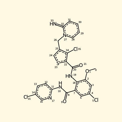 COc1cc(Cl)cc(C(=O)Nc2ccc(Cl)cn2)c1NC(=O)c1scc(Cn2ccccc2=N)c1Cl